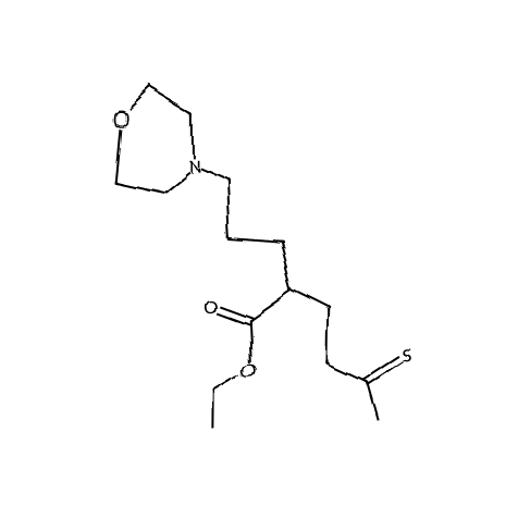 CCOC(=O)C(CCCN1CCOCC1)CCC(C)=S